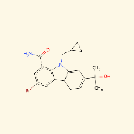 CC(C)(O)C1=CCC2C(=C1)N(CC1CC1)c1c(C(N)=O)cc(Br)cc12